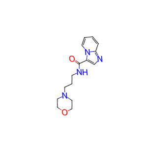 O=C(NCCCN1CCOCC1)c1cnc2ccccn12